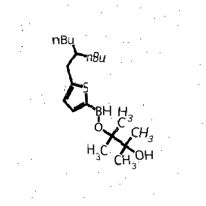 CCCCC(CCCC)Cc1ccc(BOC(C)(C)C(C)(C)O)s1